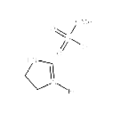 CC[N+]1=CNCC1.COS(=O)(=O)[O-]